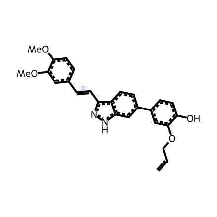 C=CCOc1cc(-c2ccc3c(/C=C/c4ccc(OC)c(OC)c4)n[nH]c3c2)ccc1O